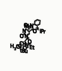 CC[C@H]1O[C@@H](n2cc(CO[C@H](c3ccccc3[N+](=O)[O-])C(C)C)c(N)nc2=O)C[C@H]1O[Si](C)(C)C(C)(C)C